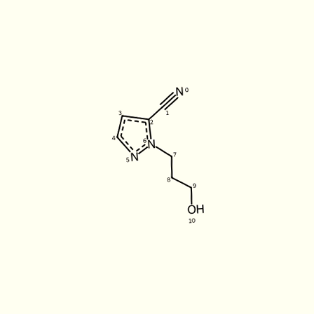 N#Cc1ccnn1CCCO